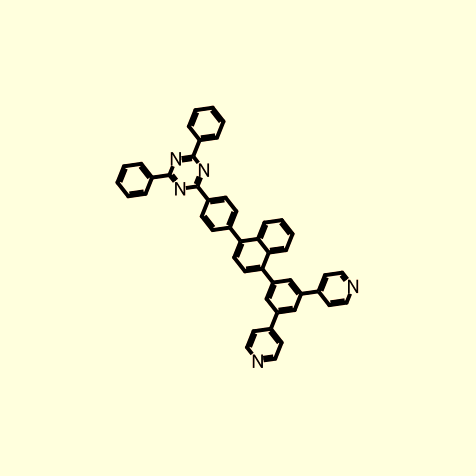 c1ccc(-c2nc(-c3ccccc3)nc(-c3ccc(-c4ccc(-c5cc(-c6ccncc6)cc(-c6ccncc6)c5)c5ccccc45)cc3)n2)cc1